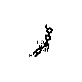 CCc1cccc(-c2ccc(-c3nn(C)c(-c4nc5cc6c(cc5[nH]4)CNC6)c3O)cc2)c1